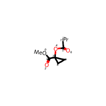 COC(=O)C1(OC(=O)C(C)C)CC1